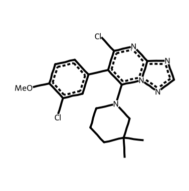 COc1ccc(-c2c(Cl)nc3ncnn3c2N2CCCC(C)(C)C2)cc1Cl